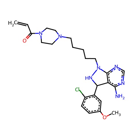 C=CC(=O)N1CCN(CCCCCN2NC(c3cc(OC)ccc3Cl)c3c(N)ncnc32)CC1